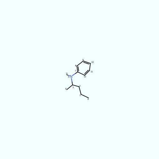 CCCC(C)N(C)c1ccccc1